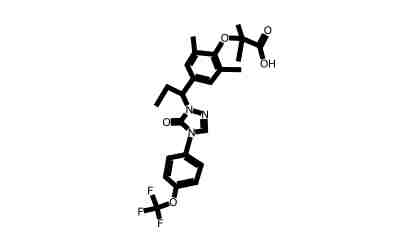 CCC(c1cc(C)c(OC(C)(C)C(=O)O)c(C)c1)n1ncn(-c2ccc(OC(F)(F)F)cc2)c1=O